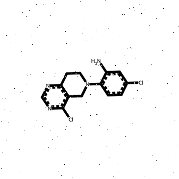 Nc1cc(Cl)ccc1N1CCc2ncnc(Cl)c2C1